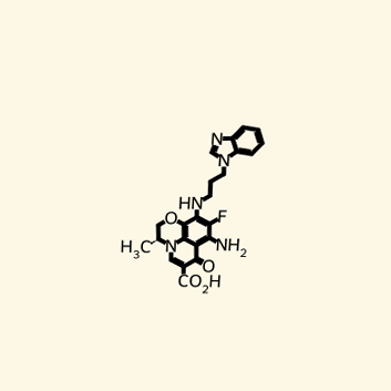 C[C@@H]1COc2c(NCCCn3cnc4ccccc43)c(F)c(N)c3c(=O)c(C(=O)O)cn1c23